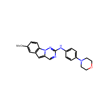 COc1ccc2c(c1)cc1cnc(Nc3ccc(N4CCOCC4)cc3)nn12